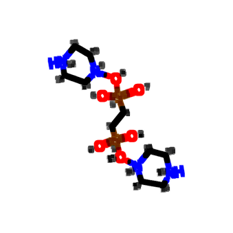 O=S(=O)(CCS(=O)(=O)ON1CCNCC1)ON1CCNCC1